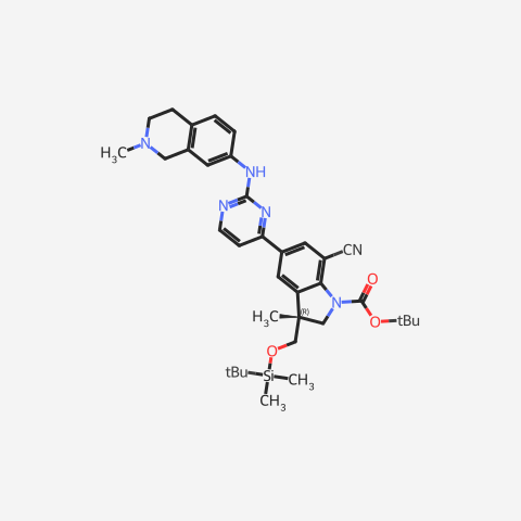 CN1CCc2ccc(Nc3nccc(-c4cc(C#N)c5c(c4)[C@@](C)(CO[Si](C)(C)C(C)(C)C)CN5C(=O)OC(C)(C)C)n3)cc2C1